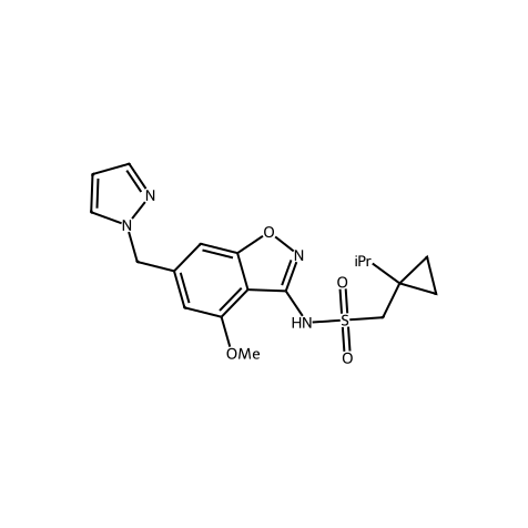 COc1cc(Cn2cccn2)cc2onc(NS(=O)(=O)CC3(C(C)C)CC3)c12